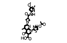 CC(=O)O.COc1cc(NC(=O)C2CN(c3cc(C)c4c(=O)c(C(=O)O)cn(-c5nccs5)c4n3)C2)nn1C